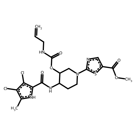 C=CCNC(=O)OC1CN(c2ncc(C(=O)OC)s2)CCC1NC(=O)c1[nH]c(C)c(Cl)c1Cl